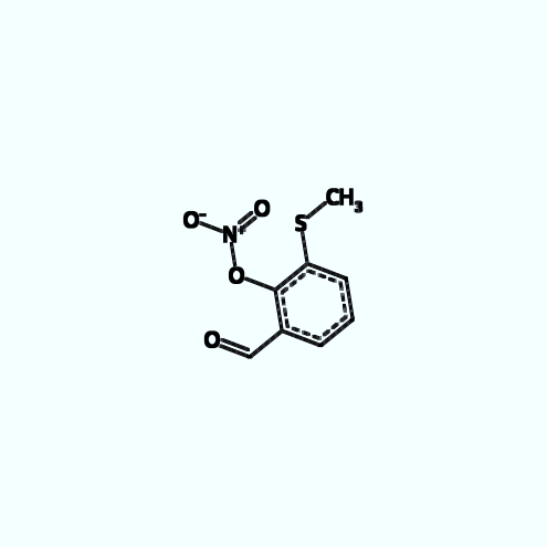 CSc1cccc(C=O)c1O[N+](=O)[O-]